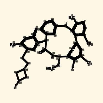 Cc1ccc(C)c2c1Oc1cccc(c1)[C@H](n1cc(CCN3CC(F)C3)c(C(F)(F)F)cc1=O)C(=O)N[C@@H](CC(=O)O)c1cc-2cc(C(F)(F)F)c1F